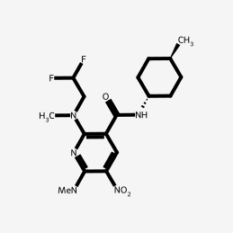 CNc1nc(N(C)CC(F)F)c(C(=O)N[C@H]2CC[C@H](C)CC2)cc1[N+](=O)[O-]